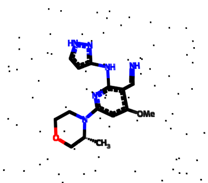 COc1cc(N2CCOC[C@H]2C)nc(Nc2cc[nH]n2)c1C=N